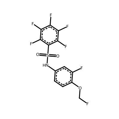 O=S(=O)(Nc1ccc(OCF)c(F)c1)c1c(F)c(F)c(F)c(F)c1F